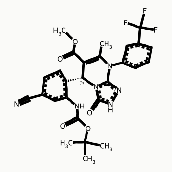 COC(=O)C1=C(C)N(c2cccc(C(F)(F)F)c2)c2n[nH]c(=O)n2[C@@H]1c1ccc(C#N)cc1NC(=O)OC(C)(C)C